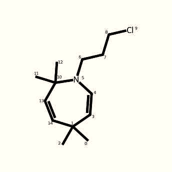 CC1(C)C=CN(CCCCl)C(C)(C)C=C1